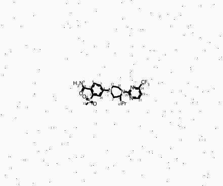 CC(C)C1CN(c2ccc(C(N)=O)c(S(C)(=O)=O)c2)CCN1c1nccc(C(F)(F)F)n1